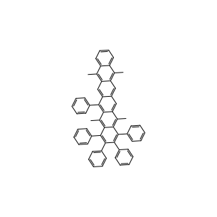 Cc1c2ccccc2c(C)c2cc3c(-c4ccccc4)c4c(C)c5c(-c6ccccc6)c(-c6ccccc6)c(-c6ccccc6)c(-c6ccccc6)c5c(C)c4cc3cc12